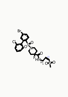 C[C@@H](/C=C\S(C)(=O)=O)NC(=O)C1(F)CCN(S(=O)(=O)c2ccc(Br)cc2-c2ccccc2Cl)CC1